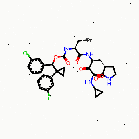 CC(C)C[C@H](NC(=O)OC(c1cccc(Cl)c1)C1(c2cccc(Cl)c2)CC1)C(=O)N[C@@H](C[C@@H]1CCNC1=O)C(=O)C(=O)NC1CC1